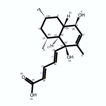 CC1=C[C@H](O)[C@H]2C[C@@H](C)C[C@@H](C)[C@@H]2[C@@]1(O)/C=C/C=C/C(=O)O